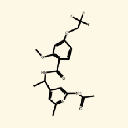 COc1cc(OCC(F)(F)F)ccc1C(=O)NC(C)c1cc(C)nc(NC(C)=O)c1